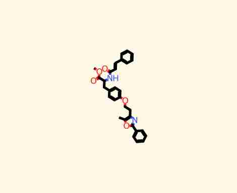 COC(=O)C(Cc1ccc(OCCc2nc(-c3ccccc3)oc2C)cc1)NC(=O)/C=C/c1ccccc1